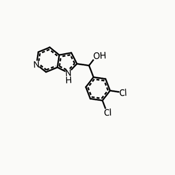 OC(c1ccc(Cl)c(Cl)c1)c1cc2ccncc2[nH]1